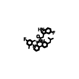 Cc1cc(F)cc(C[C@H](NC(=O)Cc2c[nH]c3ccc(F)cc23)c2ncccc2-c2ccc(CC(C)C)cc2)c1